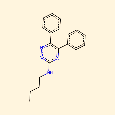 CCCCNc1nnc(-c2ccccc2)c(-c2ccccc2)n1